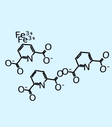 O=C([O-])c1cccc(C(=O)[O-])n1.O=C([O-])c1cccc(C(=O)[O-])n1.O=C([O-])c1cccc(C(=O)[O-])n1.[Fe+3].[Fe+3]